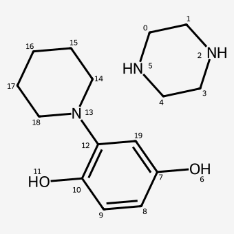 C1CNCCN1.Oc1ccc(O)c(N2CCCCC2)c1